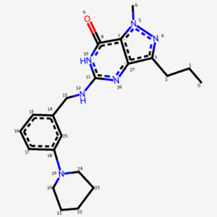 CCCc1nn(C)c2c(=O)[nH]c(NCc3cccc(N4CCCCC4)c3)nc12